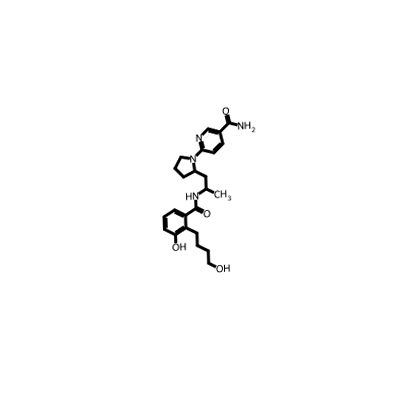 CC(CC1CCCN1c1ccc(C(N)=O)cn1)NC(=O)c1cccc(O)c1CCCCO